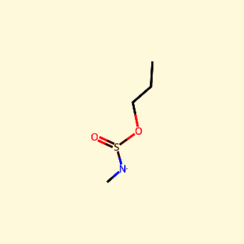 CCCOS(=O)[N]C